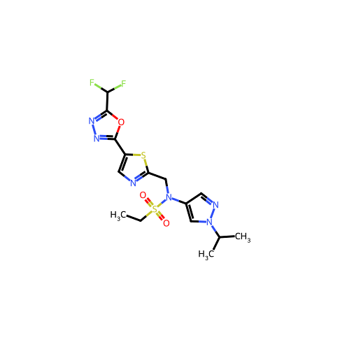 CCS(=O)(=O)N(Cc1ncc(-c2nnc(C(F)F)o2)s1)c1cnn(C(C)C)c1